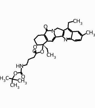 CCc1c2c(nc3ccc(C)cc13)-c1cc3c(c(=O)n1C2)CCC(=O)[C@@]3(CC)OC(=O)CCCNC(=O)OC(C)(C)C